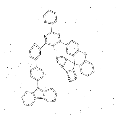 c1ccc(-c2nc(-c3cccc(-c4ccc(-n5c6ccccc6c6ccccc65)cc4)c3)nc(-c3ccc4c(c3)C3(c5ccccc5O4)c4ccccc4-c4ccccc43)n2)cc1